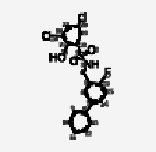 O=S(=O)(NCc1cc(-c2ccccc2)ccc1F)c1cc(Cl)cc(Cl)c1O